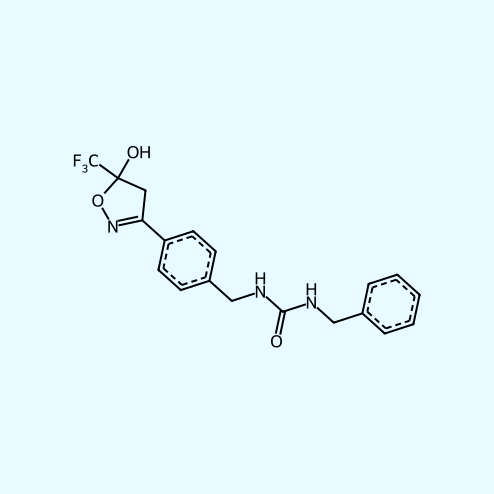 O=C(NCc1ccccc1)NCc1ccc(C2=NOC(O)(C(F)(F)F)C2)cc1